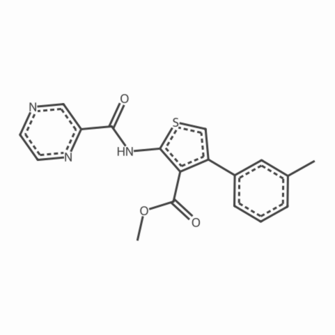 COC(=O)c1c(-c2cccc(C)c2)csc1NC(=O)c1cnccn1